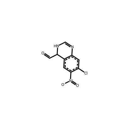 O=CC1NC=Nc2cc(Cl)c([N+](=O)[O-])cc21